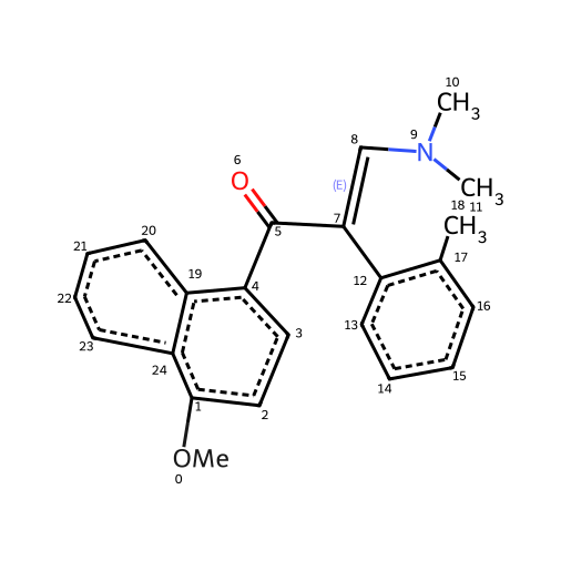 COc1ccc(C(=O)/C(=C/N(C)C)c2ccccc2C)c2ccccc12